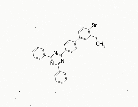 CCc1cc(-c2ccc(-c3nc(-c4ccccc4)nc(-c4ccccc4)n3)cc2)ccc1Br